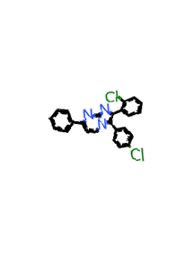 Clc1ccc(-c2c(-c3ccccc3Cl)nc3nc(-c4ccccc4)ccn23)cc1